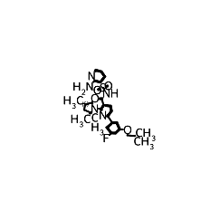 CC(C)COc1cc(F)cc(-c2ccc(C(=O)NS(=O)(=O)c3cccnc3N)c(N3C[C@@H](C)CC3(C)C)n2)c1